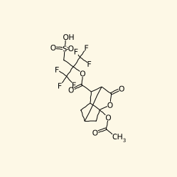 CC(=O)OC12CC3CC1C(C(=O)OC(CS(=O)(=O)O)(C(F)(F)F)C(F)(F)F)C3C(=O)O2